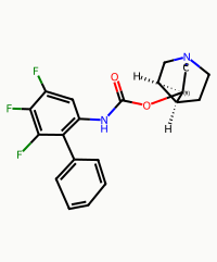 O=C(Nc1cc(F)c(F)c(F)c1-c1ccccc1)O[C@H]1C[N@]2CC[C@H]1CC2